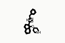 c1ccc(Cc2noc(-c3ccc4ccccc4c3OC3CCNCC3)n2)cc1